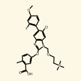 COc1ccc(-c2cc3nc(Oc4ccc(C)c(C(=O)O)c4)n(COCC[Si](C)(C)C)c3cc2Cl)c(F)c1